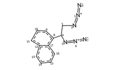 [N-]=[N+]=NCC(N=[N+]=[N-])c1cccc2ccccc12